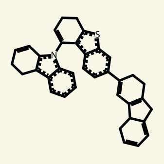 C1=CCC2C(=C1)CC1=C2C=C(c2ccc3c4c(sc3c2)CCC=C4n2c3c(c4ccccc42)CCC=C3)CC1